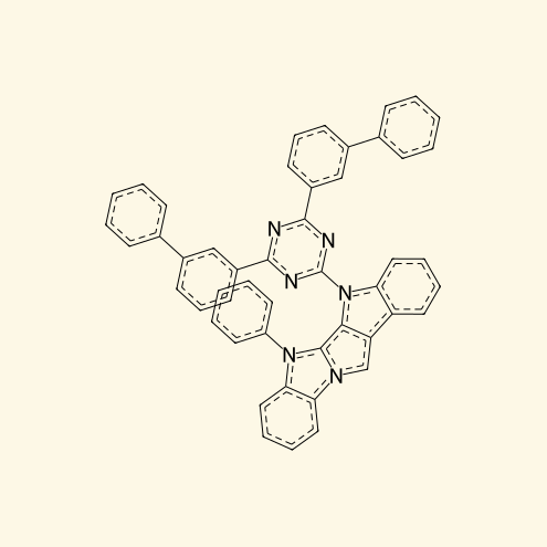 c1ccc(-c2cccc(-c3nc(-c4cccc(-c5ccccc5)c4)nc(-n4c5ccccc5c5cn6c7ccccc7n(-c7ccccc7)c6c54)n3)c2)cc1